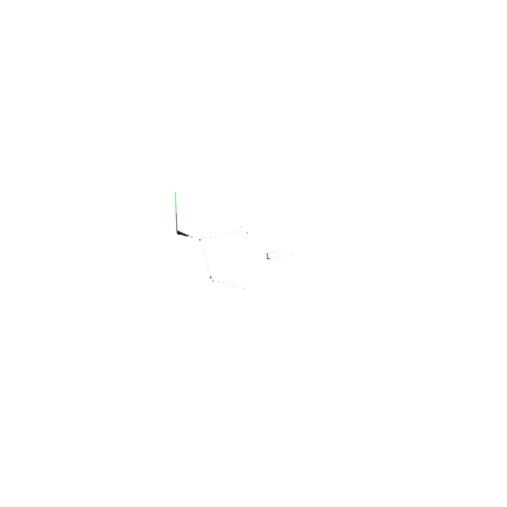 O=C1N[C@H](CCl)C(=O)O1